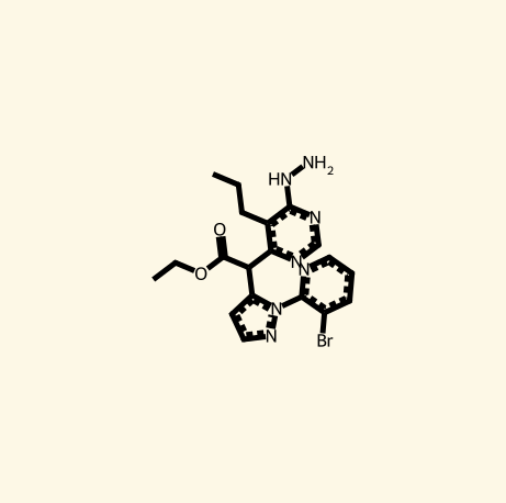 CCCc1c(NN)ncnc1C(C(=O)OCC)c1ccnn1-c1ncccc1Br